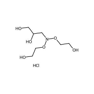 Cl.OCCON(CC(O)CO)OCCO